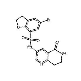 O=C1NCCc2ncc(NS(=O)(=O)c3cc(Br)cc4c3OCC4)cc21